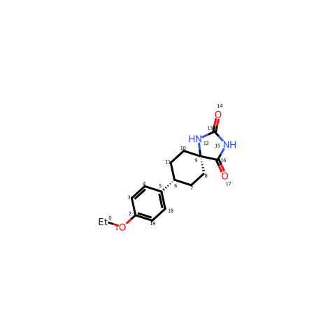 CCOc1ccc([C@H]2CC[C@]3(CC2)NC(=O)NC3=O)cc1